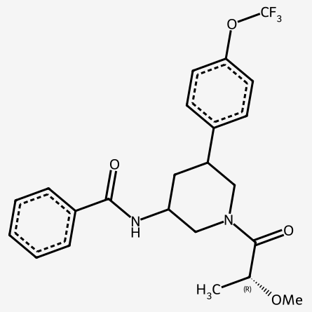 CO[C@H](C)C(=O)N1CC(NC(=O)c2ccccc2)CC(c2ccc(OC(F)(F)F)cc2)C1